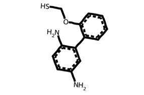 Nc1ccc(N)c(-c2ccccc2OCS)c1